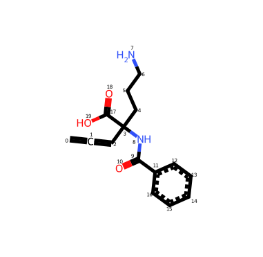 C=C=CC(CCCN)(NC(=O)c1ccccc1)C(=O)O